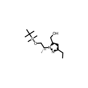 CCc1cc(CO)n([C@H](C)CO[Si](C)(C)C(C)(C)C)n1